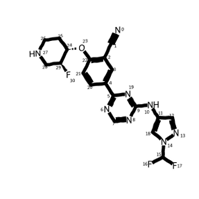 N#Cc1cc(-c2ncnc(Nc3cnn(C(F)F)c3)n2)ccc1O[C@H]1CCNC[C@@H]1F